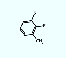 Cc1cccc([S])c1F